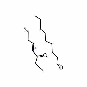 CCC/C=C/C(=O)CC.CCCCCCCCC=O